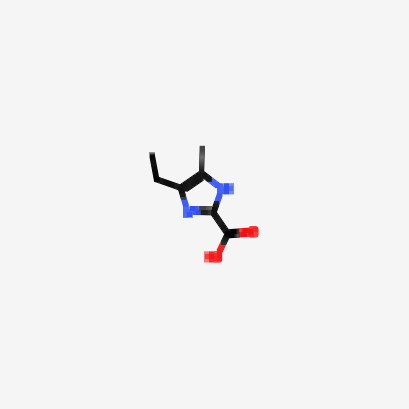 CCc1nc(C(=O)O)[nH]c1C